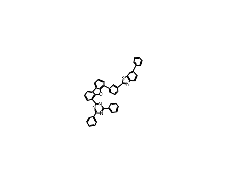 c1ccc(-c2ccc3nc(-c4cccc(-c5cccc6c5oc5c(-c7nc(-c8ccccc8)nc(-c8ccccc8)n7)cccc56)c4)sc3c2)cc1